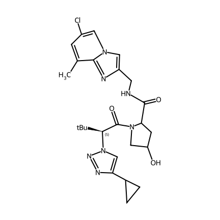 Cc1cc(Cl)cn2cc(CNC(=O)C3CC(O)CN3C(=O)[C@@H](n3cc(C4CC4)nn3)C(C)(C)C)nc12